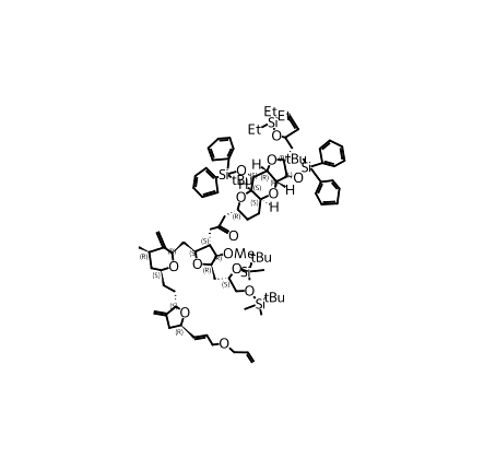 C=CCOCC=C[C@H]1CC(=C)[C@H](CC[C@H]2C[C@@H](C)C(=C)[C@@H](C[C@@H]3O[C@H](C[C@@H](CO[Si](C)(C)C(C)(C)C)O[Si](C)(C)C(C)(C)C)[C@H](OC)[C@H]3CC(=O)C[C@H]3CC[C@@H]4O[C@@H]5[C@@H](O[C@H](CC(C=C)O[Si](CC)(CC)CC)[C@@H]5O[Si](c5ccccc5)(c5ccccc5)C(C)(C)C)[C@@H](O[Si](c5ccccc5)(c5ccccc5)C(C)(C)C)[C@H]4O3)O2)O1